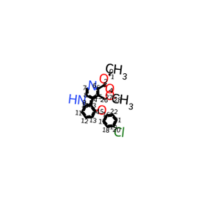 CCOC(=O)c1ncc2[nH]c3cccc(Oc4ccc(Cl)cc4)c3c2c1COC